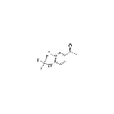 CC(=O)c1ccc(OC(F)(F)F)c(F)c1